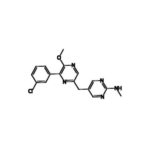 CNc1ncc(Cc2cnc(OC)c(-c3cccc(Cl)c3)n2)cn1